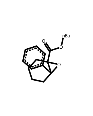 CCCCOC(=O)C12CCCCC1(c1ccccc1)O2